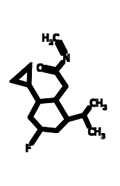 C=NC(=O)CC1C(C(C)C)CC(F)CC1C1CC1